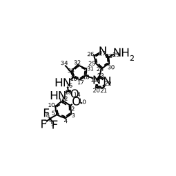 COc1ccc(C(F)(F)F)cc1NC(=O)Nc1cc(-n2ccnc2-c2ccnc(N)c2)ccc1C